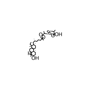 CC(CSSCC(C)C(=O)OC(C)(C)CCC[C@@H](C)[C@H]1CC[C@@]2(C)C3=C(CC[C@]12C)[C@@]1(C)CCC(O)C(C)(C)[C@@H]1CC3)C(=O)O